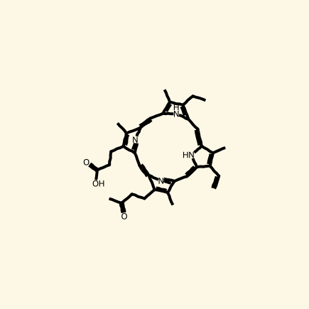 C=Cc1c(C)c2cc3[nH]c(cc4nc(cc5nc(cc1[nH]2)C(C)=C5CCC(C)=O)C(CCC(=O)O)=C4C)c(C)c3CC